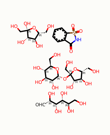 O=C1NS(=O)(=O)c2ccccc21.O=C[C@H](O)[C@@H](O)[C@H](O)[C@H](O)CO.OC[C@H]1O[C@@](CO)(O[C@H]2O[C@H](CO)[C@@H](O)[C@H](O)[C@H]2O)[C@@H](O)[C@@H]1O.OC[C@H]1O[C@](O)(CO)[C@@H](O)[C@@H]1O